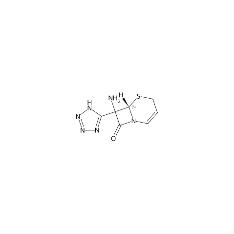 NC1(c2nnn[nH]2)C(=O)N2C=CCS[C@H]21